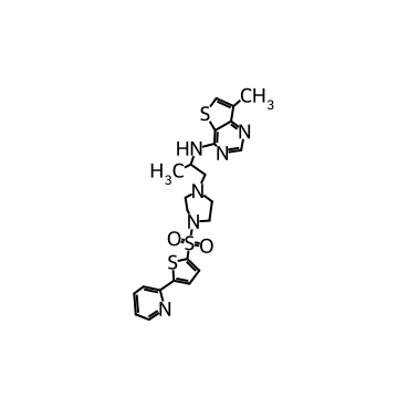 Cc1csc2c(NC(C)CN3CCN(S(=O)(=O)c4ccc(-c5ccccn5)s4)CC3)ncnc12